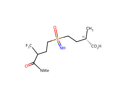 CNC(=O)C(CCS(=N)(=O)CC[C@H](C)C(=O)O)C(F)(F)F